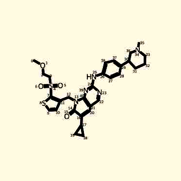 COCCS(=O)(=O)c1sccc1Cn1c(=O)c(C2CC2)cc2cnc(Nc3ccc(C4CCCN(C)C4)cc3)nc21